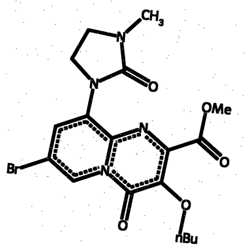 CCCCOc1c(C(=O)OC)nc2c(N3CCN(C)C3=O)cc(Br)cn2c1=O